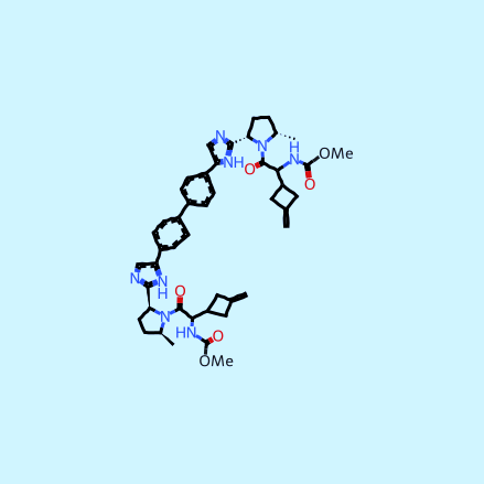 C=C1CC(C(NC(=O)OC)C(=O)N2[C@@H](C)CC[C@H]2c2ncc(-c3ccc(-c4ccc(-c5cnc([C@@H]6CC[C@H](C)N6C(=O)C(NC(=O)OC)C6CC(=C)C6)[nH]5)cc4)cc3)[nH]2)C1